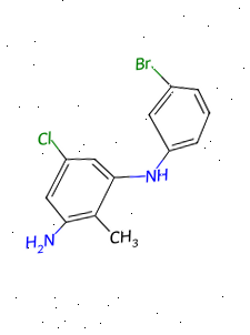 Cc1c(N)cc(Cl)cc1Nc1cccc(Br)c1